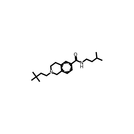 CC(C)CCNC(=O)c1ccc2c(c1)CCN(CCC(C)(C)C)C2